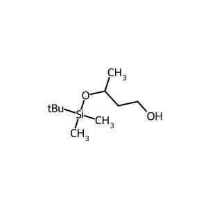 CC(CCO)O[Si](C)(C)C(C)(C)C